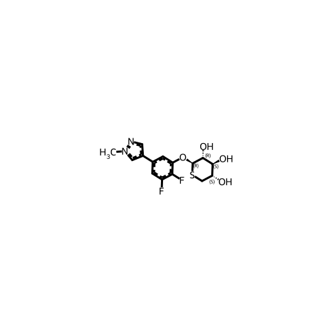 Cn1cc(-c2cc(F)c(F)c(O[C@@H]3SC[C@@H](O)[C@H](O)[C@H]3O)c2)cn1